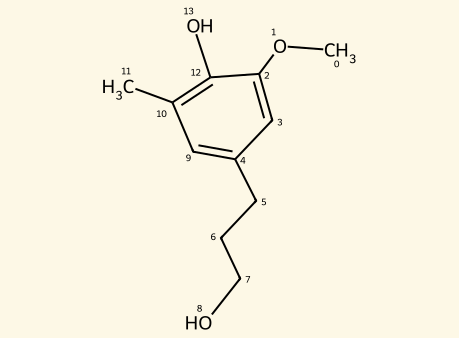 COc1cc(CCCO)cc(C)c1O